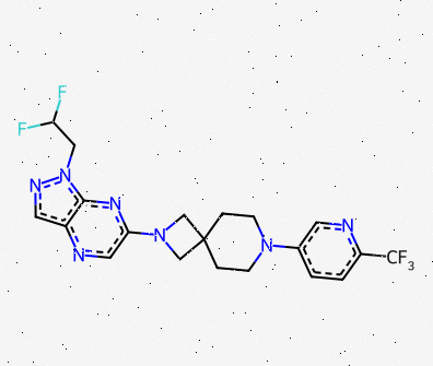 FC(F)Cn1ncc2ncc(N3CC4(CCN(c5ccc(C(F)(F)F)nc5)CC4)C3)nc21